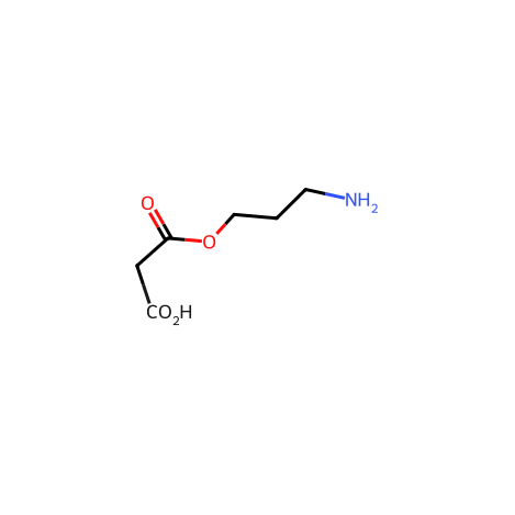 NCCCOC(=O)CC(=O)O